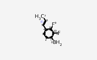 Bc1ccc(/C=C/C)c(F)c1F